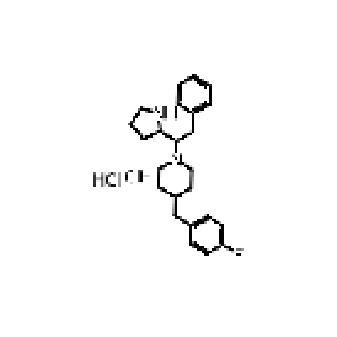 Cl.Cl.Fc1ccc(CC2CCN(C(Cc3ccccc3)C3CCCN3)CC2)cc1